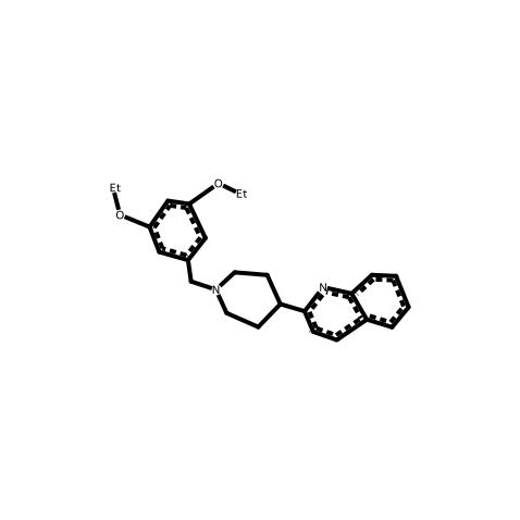 CCOc1cc(CN2CCC(c3[c]cc4ccccc4n3)CC2)cc(OCC)c1